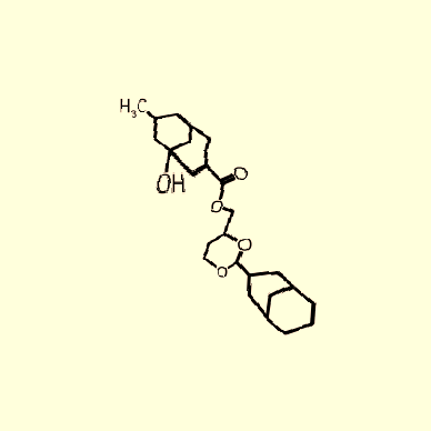 CC1CC2CC(C(=O)OCC3CCOC(C4CC5CCCC(C5)C4)O3)CC(O)(C1)C2